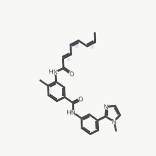 C\C=C/C=C\C=C\C(=O)Nc1cc(C(=O)Nc2cccc(-c3nccn3C)c2)ccc1C